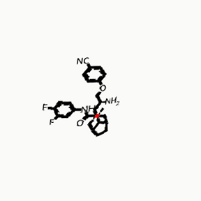 CN(C(=O)Nc1ccc(F)c(F)c1)C1C2CCC1CN(C[C@H](N)COc1ccc(C#N)cc1)C2